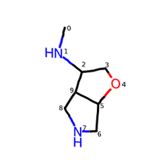 CNC1COC2CNCC12